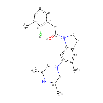 COc1cc2c(cc1N1CC(C)NC(C)C1)N(C(=O)Cc1cccc(C(F)(F)F)c1Cl)CC2